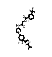 CC(C)c1ncc(C2(O)CCC(N3CC[C@@H](NC(=O)CNC(=O)c4cccc(C(F)(F)F)c4)C3)CC2)s1